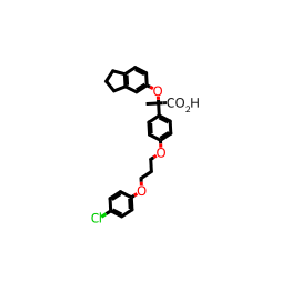 CC(Oc1ccc2c(c1)CCC2)(C(=O)O)c1ccc(OCCCOc2ccc(Cl)cc2)cc1